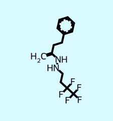 C=C(CCc1ccccc1)NNCCC(F)(F)C(F)(F)F